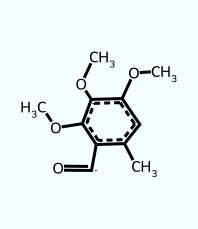 COc1cc(C)c([C]=O)c(OC)c1OC